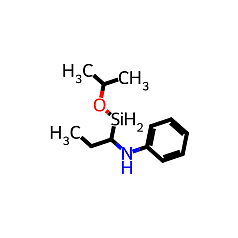 CCC(Nc1ccccc1)[SiH2]OC(C)C